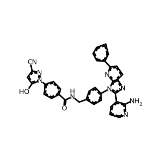 N#Cc1cc(O)n(-c2ccc(C(=O)NCc3ccc(-n4c(-c5cccnc5N)nc5ccc(-c6ccccc6)nc54)cc3)cc2)n1